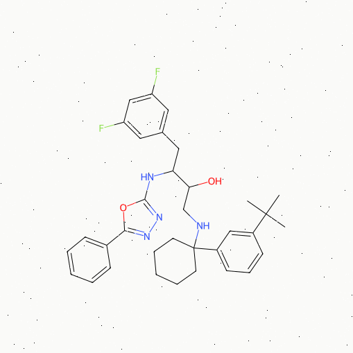 CC(C)(C)c1cccc(C2(NCC(O)C(Cc3cc(F)cc(F)c3)Nc3nnc(-c4ccccc4)o3)CCCCC2)c1